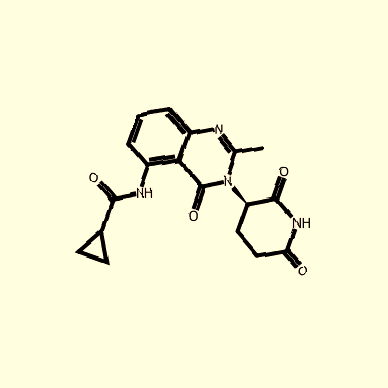 Cc1nc2cccc(NC(=O)C3CC3)c2c(=O)n1[C@@H]1CCC(=O)NC1=O